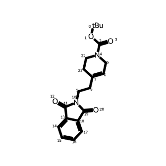 CC(C)(C)OC(=O)N1CC=C(CCN2C(=O)c3ccccc3C2=O)CC1